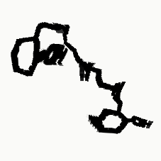 Oc1ccccc1/C=N\CCNCC/N=C\c1ccccc1O